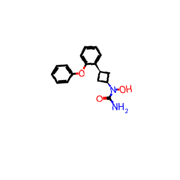 NC(=O)N(O)[C@H]1C[C@@H](c2ccccc2Oc2ccccc2)C1